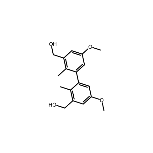 COc1cc(CO)c(C)c(-c2cc(OC)cc(CO)c2C)c1